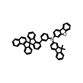 CC1(C)c2ccccc2-c2ccc(N(c3cccc(-c4cccc5c4-c4ccccc4C54c5ccccc5-c5c4ccc4ccccc54)c3)c3ccc4c(c3)oc3ccccc34)cc21